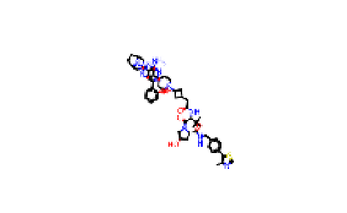 Cc1ncsc1-c1ccc(CNC(=O)[C@@H]2C[C@@H](O)CN2C(=O)[C@@H](NC(=O)CC2CC(N3CCC(c4cnc(N5C6CCC5CN(c5cc(-c7ccccc7O)nnc5N)C6)nc4)CC3)C2)C(C)(C)C)cc1